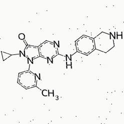 Cc1cccc(-n2c3nc(Nc4ccc5c(c4)CCNC5)ncc3c(=O)n2C2CC2)n1